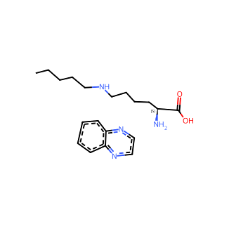 CCCCCNCCCC[C@H](N)C(=O)O.c1ccc2nccnc2c1